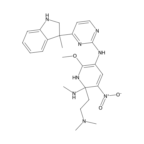 CNC1(CCN(C)C)NC(OC)=C(Nc2nccc(C3(C)CNc4ccccc43)n2)C=C1[N+](=O)[O-]